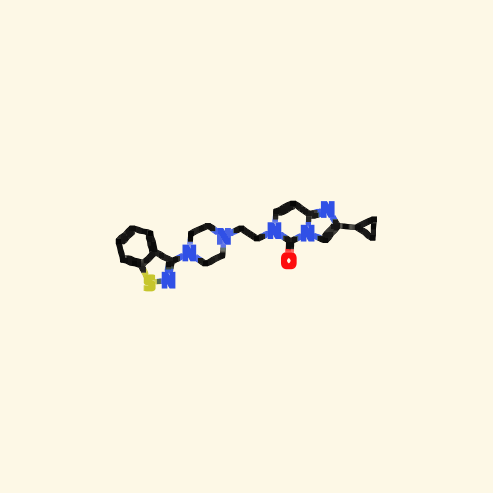 O=c1n(CCN2CCN(c3nsc4ccccc34)CC2)ccc2nc(C3CC3)cn12